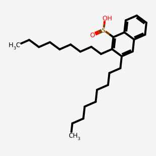 CCCCCCCCCc1cc2ccccc2c(S(=O)O)c1CCCCCCCCC